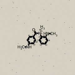 CNc1ccc(C(=O)N(C)c2ccccc2NC)cc1